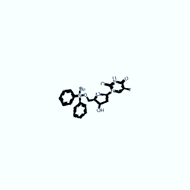 CC(C)(C)[Si](OCC1OC(n2cc(F)c(=O)[nH]c2=O)CC1O)(c1ccccc1)c1ccccc1